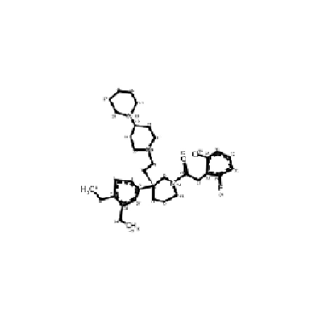 CCc1ccc([C@@]2(CCN3CCC(N4CCCCC4)CC3)CCCN(C(=O)Cc3c(F)cccc3Cl)C2)cc1CC